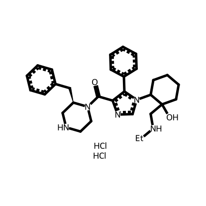 CCNCC1(O)CCCCC1n1cnc(C(=O)N2CCNC[C@H]2Cc2ccccc2)c1-c1ccccc1.Cl.Cl